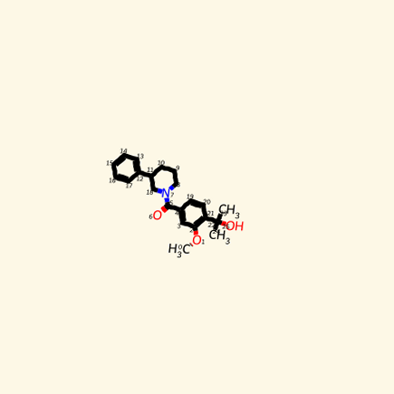 COc1cc(C(=O)N2CCCC(c3ccccc3)C2)ccc1C(C)(C)O